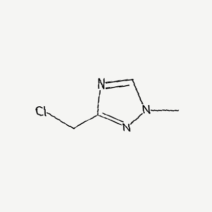 Cn1cnc(CCl)n1